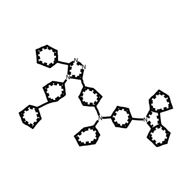 c1ccc(-c2ccc(-n3c(-c4ccccc4)nnc3-c3ccc(N(c4ccccc4)c4ccc(-n5c6ccccc6c6ccccc65)cc4)cc3)cc2)cc1